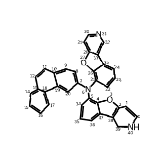 C1=Cc2oc3c(N(c4ccc5ccc6ccccc6c5c4)c4cccc5c4oc4ccncc45)cccc3c2CN1